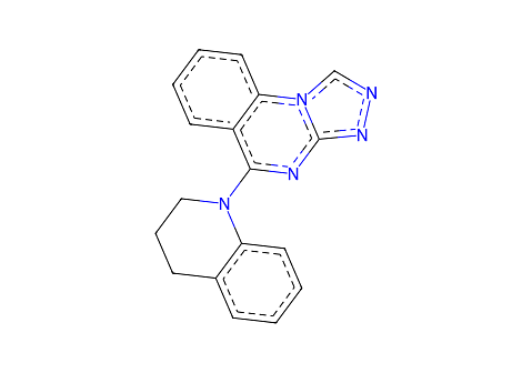 c1ccc2c(c1)CCCN2c1nc2nncn2c2ccccc12